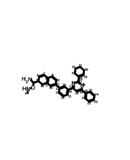 CNOC(N)C1C=Cc2ccc(-c3cccc(-c4cc(-c5ccccc5)nc(C5=CCCCC5)n4)c3)cc2C1